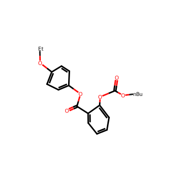 CCCCOC(=O)Oc1ccccc1C(=O)Oc1ccc(OCC)cc1